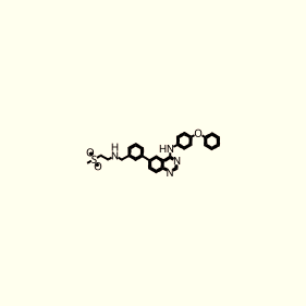 CS(=O)(=O)CCNCc1cccc(-c2ccc3ncnc(Nc4ccc(Oc5ccccc5)cc4)c3c2)c1